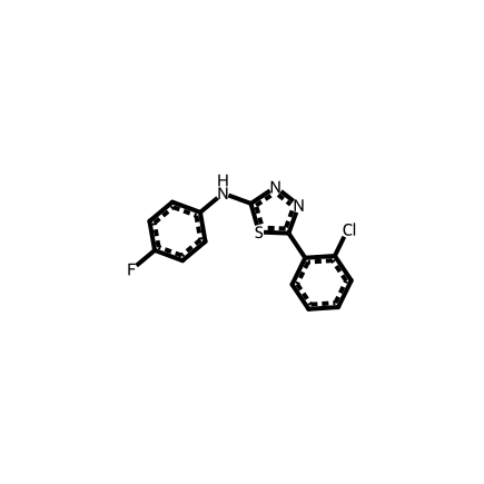 Fc1ccc(Nc2nnc(-c3ccccc3Cl)s2)cc1